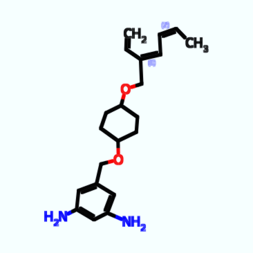 C=C/C(=C\C=C/C)COC1CCC(OCc2cc(N)cc(N)c2)CC1